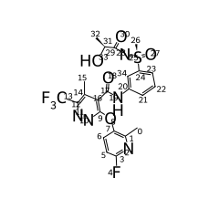 Cc1nc(F)ccc1Oc1nnc(C(F)(F)F)c(C)c1C(=O)Nc1cccc([S@@](C)(=O)=NC(=O)[C@H](C)O)c1